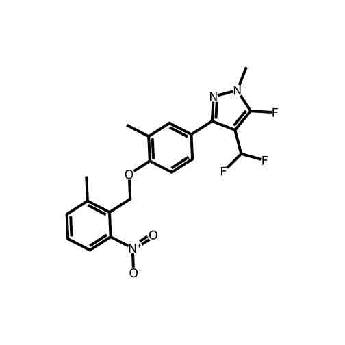 Cc1cc(-c2nn(C)c(F)c2C(F)F)ccc1OCc1c(C)cccc1[N+](=O)[O-]